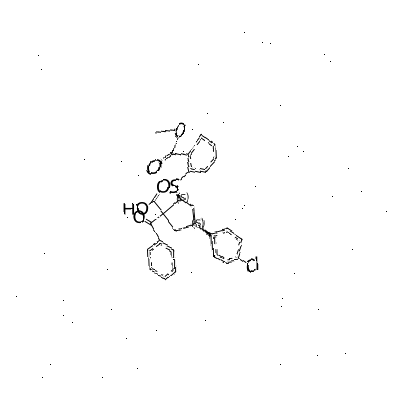 COC(=O)c1ccccc1S[C@H]1C[C@@H](c2ccc(Cl)cc2)CC1(C(=O)O)C(=O)c1ccccc1